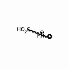 O=C(O)CCCCCCCC(=O)NCCc1ccccc1